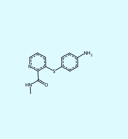 CNC(=O)c1ncccc1Sc1ccc(N)cc1